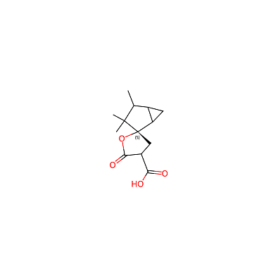 CC1C2CC2[C@@]2(CC(C(=O)O)C(=O)O2)C1(C)C